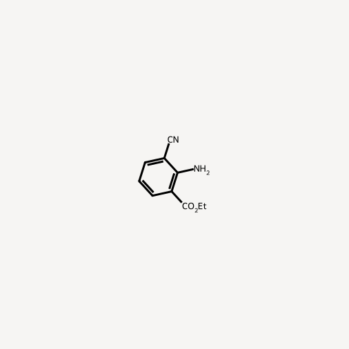 CCOC(=O)c1cccc(C#N)c1N